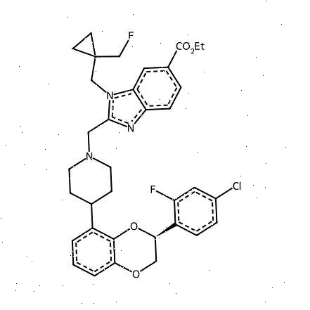 CCOC(=O)c1ccc2nc(CN3CCC(c4cccc5c4O[C@@H](c4ccc(Cl)cc4F)CO5)CC3)n(CC3(CF)CC3)c2c1